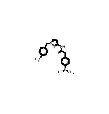 Cc1ccc(Cn2ccc(NC(=O)Cc3ccc(N(C)C)cc3)n2)cc1